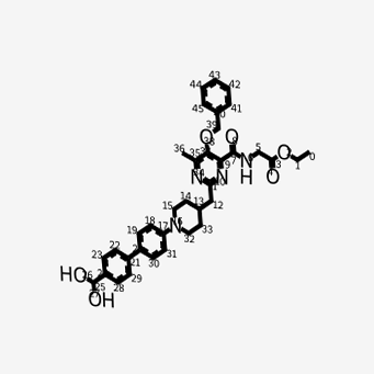 CCOC(=O)CNC(=O)c1nc(CC2CCN(c3ccc(-c4ccc(C(O)O)cc4)cc3)CC2)nc(C)c1OCc1ccccc1